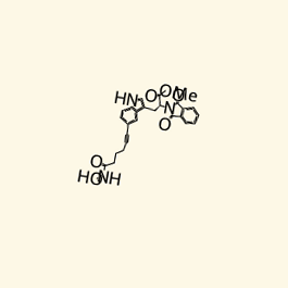 COC(=O)[C@H](Cc1c[nH]c2ccc(C#CCCCC(=O)NO)cc12)N1C(=O)c2ccccc2C1=O